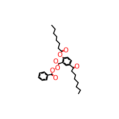 CCCCCCCC(=O)Oc1ccc(C(=O)CCCCCCC)cc1C(=O)OOC(=O)c1ccccc1